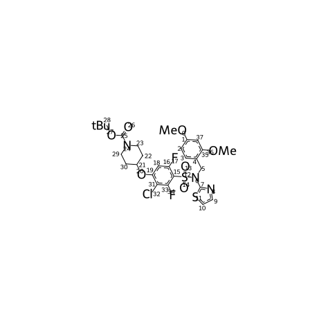 COc1ccc(CN(c2nccs2)S(=O)(=O)c2c(F)cc(OC3CCN(C(=O)OC(C)(C)C)CC3)c(Cl)c2F)c(OC)c1